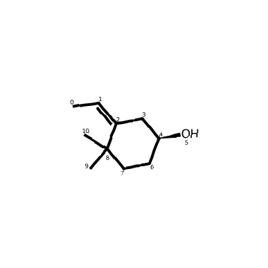 C/C=C1/C[C@@H](O)CCC1(C)C